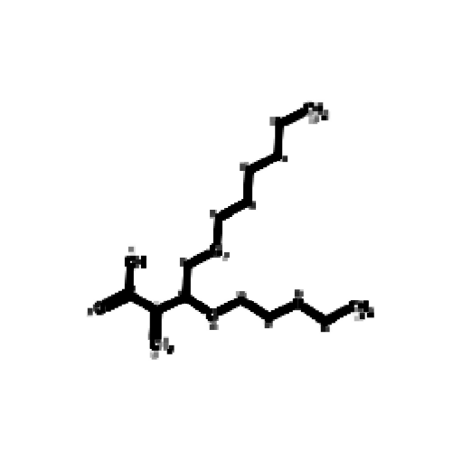 C=C(C(=O)O)C(COCCCCCC)OCCOCC